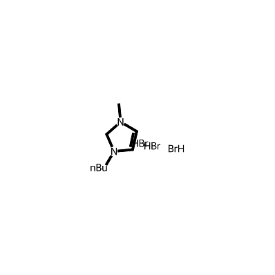 Br.Br.Br.CCCCN1C=CN(C)C1